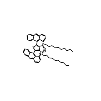 CCCCCCCCCCS(=O)(=O)c1c(-c2c3ccccc3cc3ccccc23)sc(-c2c3ccccc3cc3ccccc23)c1S(=O)(=O)CCCCCCCCCC